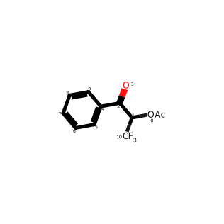 CC(=O)OC(C(=O)c1ccccc1)C(F)(F)F